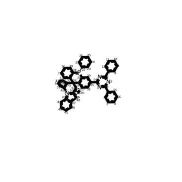 c1ccc(-c2nc(-c3ccccc3)nc(-c3ccc4c(c3)[P@](c3ccccc3)c3ccccc3C43c4ccccc4-n4c5ccccc5c5cccc3c54)n2)cc1